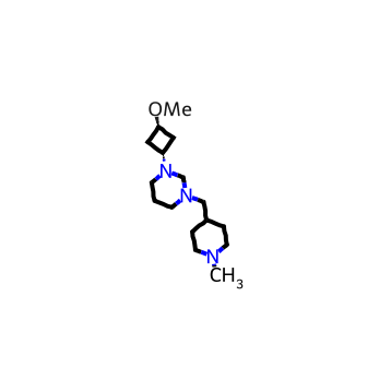 CO[C@H]1C[C@H](N2CCCN(CC3CCN(C)CC3)C2)C1